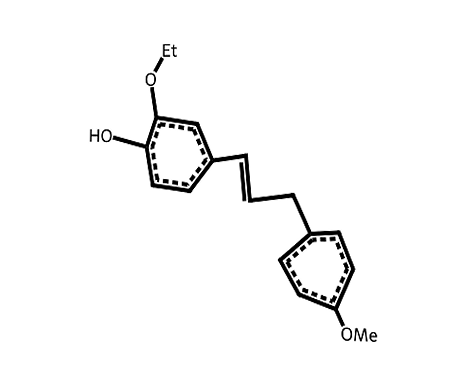 CCOc1cc(C=CCc2ccc(OC)cc2)ccc1O